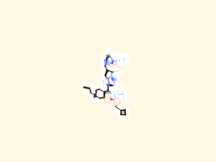 C=CCC1(C)CCC([C@H](NC(=O)OCC2CCC2)c2cn3ncc(CN4C[C@@H](C)NC4=O)cc3n2)CC1